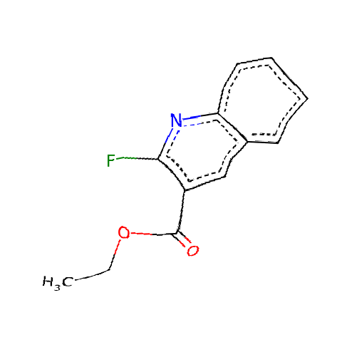 CCOC(=O)c1cc2ccccc2nc1F